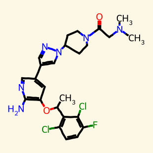 CC(Oc1cc(-c2cnn(C3CCN(C(=O)CN(C)C)CC3)c2)cnc1N)c1c(Cl)ccc(F)c1Cl